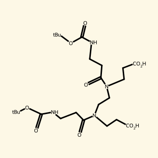 CC(C)(C)OC(=O)NCCC(=O)N(CCC(=O)O)CCN(CCC(=O)O)C(=O)CCNC(=O)OC(C)(C)C